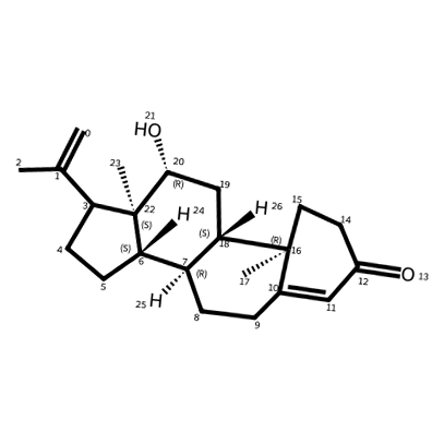 C=C(C)C1CC[C@H]2[C@@H]3CCC4=CC(=O)CC[C@]4(C)[C@H]3C[C@@H](O)[C@]12C